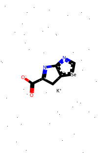 O=C([O-])C1=Nc2nc[se]c2C1.[K+]